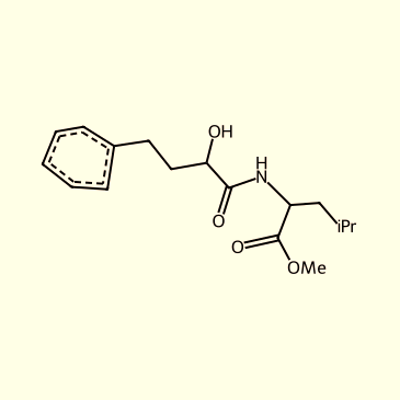 COC(=O)C(CC(C)C)NC(=O)C(O)CCc1ccccc1